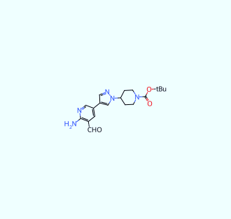 CC(C)(C)OC(=O)N1CCC(n2cc(-c3cnc(N)c(C=O)c3)cn2)CC1